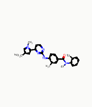 CCc1ccccc1N(CC)C(=O)c1ccc(Nc2nccc(-c3cc(C(=O)O)cn3C)n2)c(C)c1